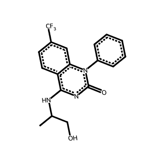 CC(CO)Nc1nc(=O)n(-c2ccccc2)c2cc(C(F)(F)F)ccc12